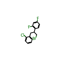 Fc1ccc(C(CBr)Cc2ccccc2Cl)c(F)c1